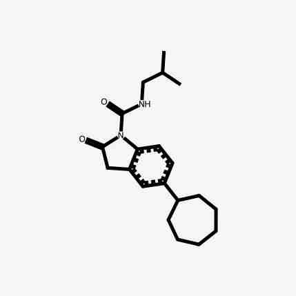 CC(C)CNC(=O)N1C(=O)Cc2cc(C3CCCCCC3)ccc21